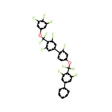 Fc1cc(OC(F)(F)c2c(F)cc(-c3ccccc3)cc2F)ccc1-c1cc(F)c(C(F)(F)Oc2cc(F)c(F)c(F)c2)c(F)c1